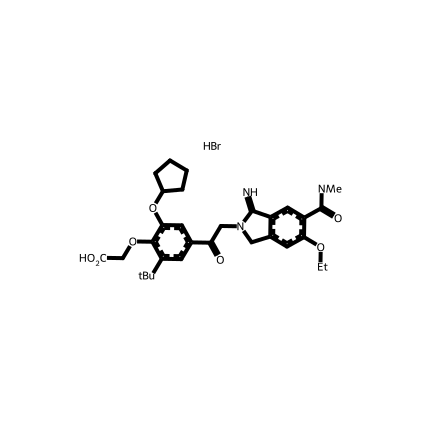 Br.CCOc1cc2c(cc1C(=O)NC)C(=N)N(CC(=O)c1cc(OC3CCCC3)c(OCC(=O)O)c(C(C)(C)C)c1)C2